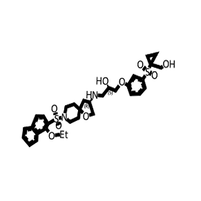 CCOc1c(S(=O)(=O)N2CCC3(CC2)C[C@@H](NC[C@H](O)COc2cccc(S(=O)(=O)C4(CO)CC4)c2)CO3)ccc2ccccc12